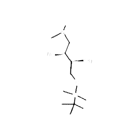 CN(C)C[C@H](O)[C@@H](O)CO[Si](C)(C)C(C)(C)C